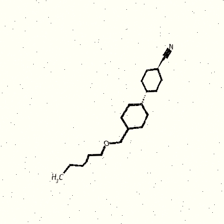 CCCCCOCC1CCC([C@H]2CC[C@H](C#N)CC2)CC1